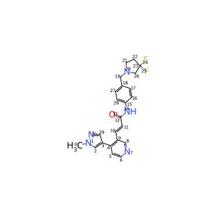 Cn1cc(-c2ccncc2C=CC(=O)Nc2ccc(CN3CCC(F)(F)C3)cc2)cn1